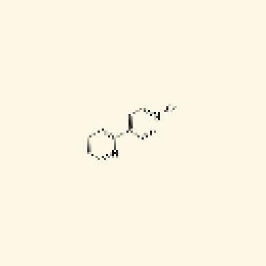 [O-][n+]1ccc(-c2ccccn2)cc1